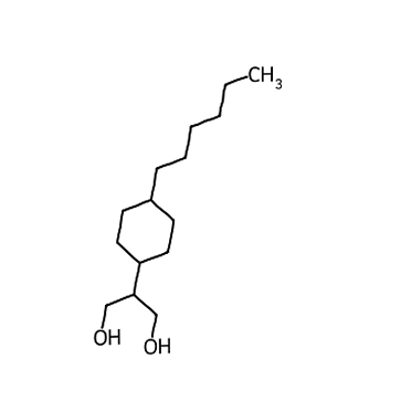 CCCCCCC1CCC(C(CO)CO)CC1